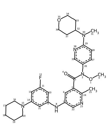 CON(C(=O)c1cc(Nc2cc(F)cc(N3CCCCC3)c2)cnc1C)c1ccc(N(C)C2CCOCC2)nc1